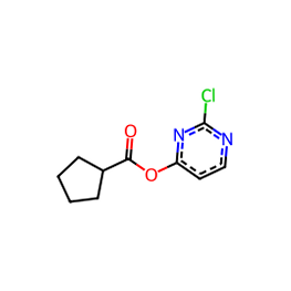 O=C(Oc1ccnc(Cl)n1)C1CCCC1